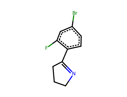 Fc1cc(Br)ccc1C1=NCCC1